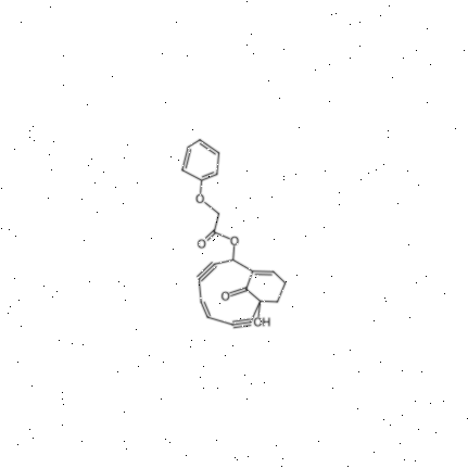 O=C(COc1ccccc1)OC1C#CC=CC#CC2(O)CCC=C1C2=O